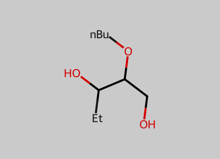 CCCCOC(CO)C(O)CC